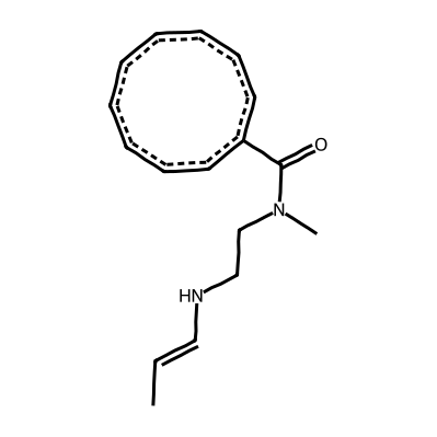 C/C=C/NCCN(C)C(=O)c1ccccccccc1